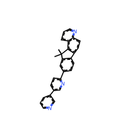 CC1(C)c2cc(-c3ccc(-c4cccnc4)cn3)ccc2-c2ccc3ncccc3c21